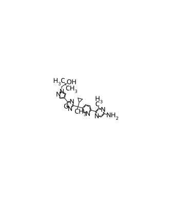 Cc1nc(N)cnc1-c1ccc([C@](C)(c2noc(-c3cnn(CC(C)(C)O)c3)n2)C2CC2)cn1